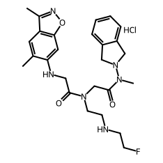 Cc1cc2c(C)noc2cc1NCC(=O)N(CCNCCF)CC(=O)N(C)N1Cc2ccccc2C1.Cl